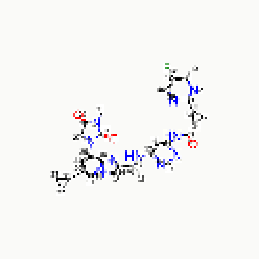 Cc1nc([C@H]2C[C@@H]2C(=O)Nc2cc(N[C@H](C)c3cn4cc(C5CC5)cc(N5CC(=O)N(C)C5=O)c4n3)ncn2)ncc1F